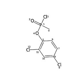 CP(=O)(Cl)Oc1ccc(Cl)cc1Cl